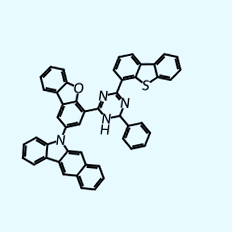 c1ccc(C2N=C(c3cccc4c3sc3ccccc34)N=C(c3cc(-n4c5ccccc5c5cc6ccccc6cc54)cc4c3oc3ccccc34)N2)cc1